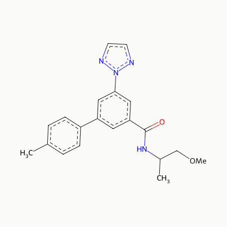 COCC(C)NC(=O)c1cc(-c2ccc(C)cc2)cc(-n2nccn2)c1